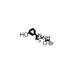 O=C(CBr)Nc1nc(-c2cccc(O)c2)cs1